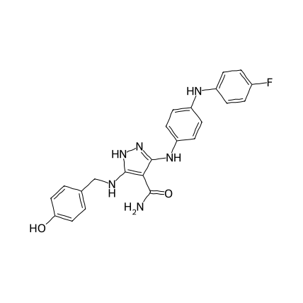 NC(=O)c1c(Nc2ccc(Nc3ccc(F)cc3)cc2)n[nH]c1NCc1ccc(O)cc1